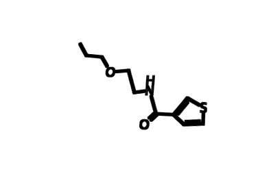 CCCOCCNC(=O)c1ccsc1